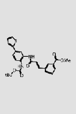 COC(=O)c1cccc(C=CC(=O)Nc2cc(-c3cccs3)ccc2NC(=O)OC(C)(C)C)c1